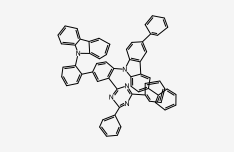 c1ccc(-c2ccc3c(c2)c2cc(-c4ccccc4)ccc2n3-c2ccc(-c3ccccc3-n3c4ccccc4c4ccccc43)cc2-c2nc(-c3ccccc3)nc(-c3ccccc3)n2)cc1